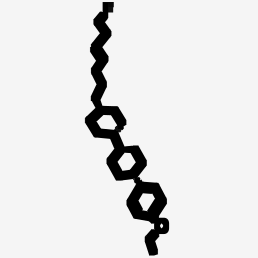 CCOc1ccc([C@H]2CC[C@H]([C@H]3CC[C@H](CCCC=CCCF)CC3)CC2)cc1